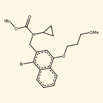 COCCCOc1cc(CN(C(=O)OC(C)(C)C)C2CC2)c(Br)c2ccccc12